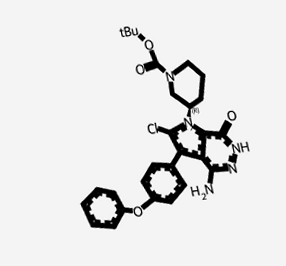 CC(C)(C)OC(=O)N1CCC[C@@H](n2c(Cl)c(-c3ccc(Oc4ccccc4)cc3)c3c(N)n[nH]c(=O)c32)C1